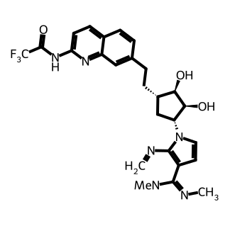 C=Nc1c(/C(=N\C)NC)ccn1[C@@H]1C[C@H](CCc2ccc3ccc(NC(=O)C(F)(F)F)nc3c2)[C@@H](O)[C@H]1O